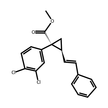 COC(=O)[C@]1(c2ccc(Cl)c(Cl)c2)C[C@H]1/C=C/c1ccccc1